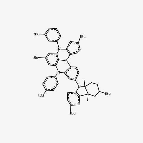 CC(C)(C)c1ccc(N2c3cc(N4c5ccc(C(C)(C)C)cc5C5(C)CC(C(C)(C)C)CCC45C)ccc3B3c4ccc(C(C)(C)C)cc4N(c4cccc(C(C)(C)C)c4)c4cc(C(C)(C)C)cc2c43)cc1